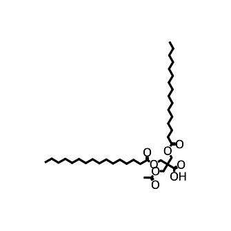 CCCCCCCCCCCCCCCC(=O)OCC(COC(C)=O)(COC(=O)CCCCCCCCCCCCCCC)C(=O)O